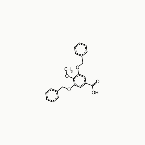 COc1c(OCc2ccccc2)cc(C(=O)O)cc1OCc1ccccc1